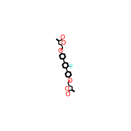 C=C1CC(COc2ccc(-c3ccc(-c4ccc(OCC5CC(=C)C(=O)O5)cc4)c(F)c3)cc2)OC1=O